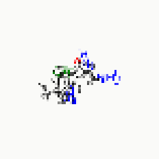 Cn1ncc(-c2ccc3c(=O)[nH]nc(C4CC4N)c3c2)c1-c1c(F)c(Cl)cc(C2CC2)c1C#N